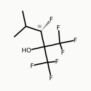 CC(C)[C@H](F)C(O)(C(F)(F)F)C(F)(F)F